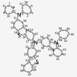 c1ccc(N(c2ccccc2)c2ccc3sc4cc(N(c5ccc6c(c5)sc5ccccc56)c5ccc6c(c5)c5ccccc5n6-c5ccccc5)ccc4c3c2)cc1